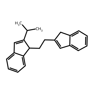 CC(C)C1=Cc2ccccc2C1CCC1=Cc2ccccc2C1